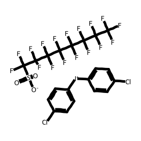 Clc1ccc([I+]c2ccc(Cl)cc2)cc1.O=S(=O)([O-])C(F)(F)C(F)(F)C(F)(F)C(F)(F)C(F)(F)C(F)(F)C(F)(F)C(F)(F)F